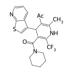 CC(=O)C1=C(C)NC(C(F)(F)F)=C(C(=O)N2CCCCC2)C1c1csc2ncccc12